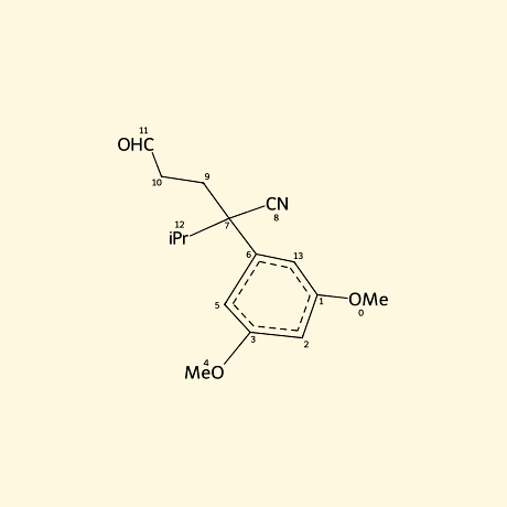 COc1cc(OC)cc(C(C#N)(CCC=O)C(C)C)c1